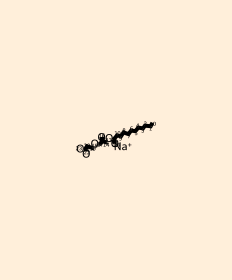 CCCCCCCCCCCC(=O)OCC(=O)COCCC(=O)[O-].[Na+]